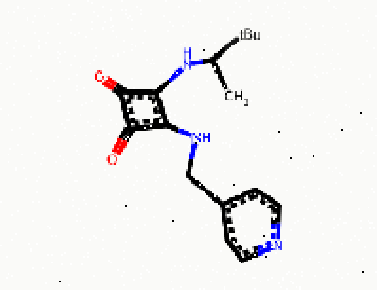 CC(Nc1c(NCc2ccncc2)c(=O)c1=O)C(C)(C)C